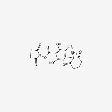 Cc1c(C2(N)C(=O)CCCC2=O)cc(O)c(C(=O)ON2C(=O)CCC2=O)c1O